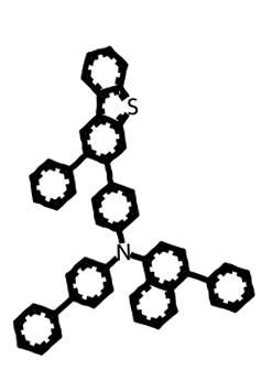 c1ccc(-c2ccc(N(c3ccc(-c4cc5sc6ccccc6c5cc4-c4ccccc4)cc3)c3ccc(-c4ccccc4)c4ccccc34)cc2)cc1